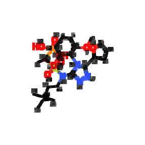 COc1cccc(OC)c1-n1c(-c2ccco2)nnc1N(CC[Si](C)(C)C)S(=O)(=O)C(C)P(=O)(O)O